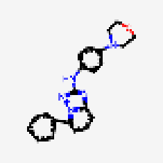 c1ccc(-c2cccc3nc(Nc4ccc(N5CCOCC5)cc4)nn23)cc1